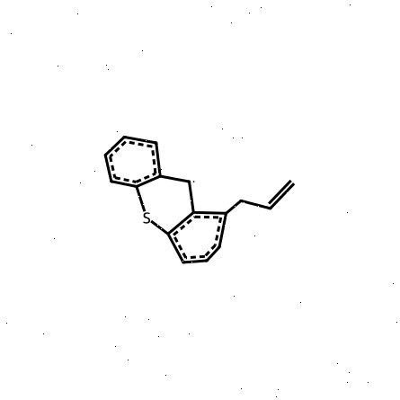 C=CCc1cccc2c1[CH]c1ccccc1S2